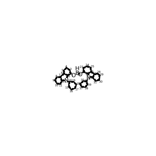 B(Oc1cccc2c3ccccc3n(-c3ccccc3)c12)Oc1cccc2c3ccccc3n(-c3ccccc3)c12